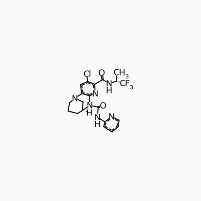 C[C@@H](NC(=O)c1nc2c(cc1Cl)N1CCC[C@@H](C1)N2C(=O)Nc1ccccn1)C(F)(F)F